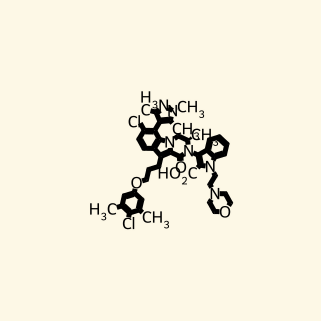 Cc1cc(OCCCc2c3n(c4c(-c5c(C)nn(C)c5C)c(Cl)ccc24)C[C@@H](C)N(c2c(C(=O)O)n(CCN4CCOCC4)c4ccccc24)C3=O)cc(C)c1Cl